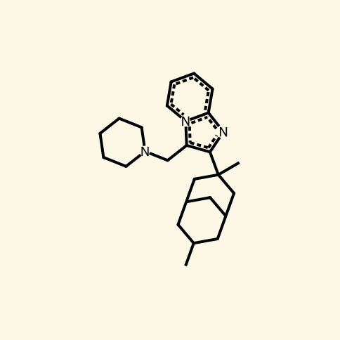 CC1CC2CC(C1)CC(C)(c1nc3ccccn3c1CN1CCCCC1)C2